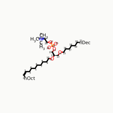 CCCCCCCC/C=C\CCCCCCCCO[C@H](COCCCCCCCCCCCCCCCC)COP(=O)([O-])OCC[N+](C)(C)C